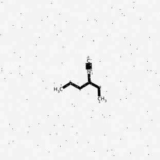 [C-]#[N+]C(CC)CCC